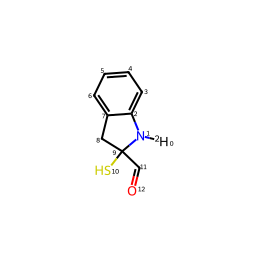 [2H]N1c2ccccc2CC1(S)C=O